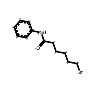 O=C(CCCCCBr)Nc1ccccc1